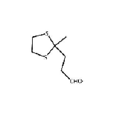 CC1(CC[C]=O)SCCS1